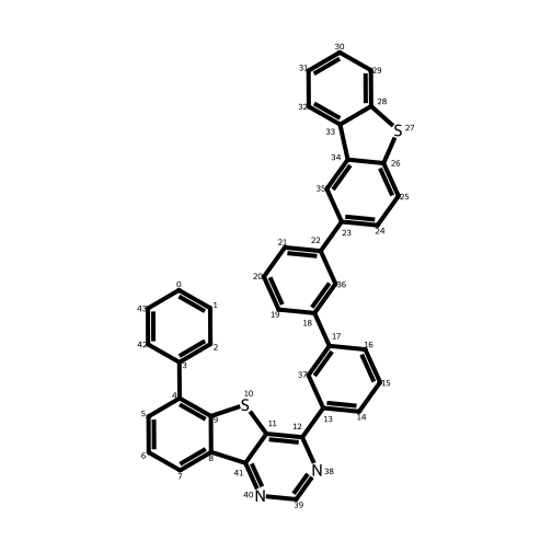 c1ccc(-c2cccc3c2sc2c(-c4cccc(-c5cccc(-c6ccc7sc8ccccc8c7c6)c5)c4)ncnc23)cc1